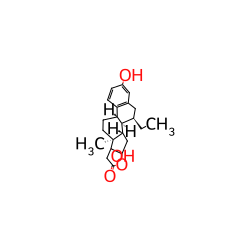 CC[C@@H]1Cc2cc(O)ccc2[C@H]2CC[C@@]3(C)[C@@H](CC4OC(=O)C[C@@]43O)[C@H]12